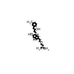 Cc1cccc(C[C@@H](O)/C=C/[C@@H]2[C@H]3CC(CCOCCN(C)C)=C[C@H]3C[C@H]2O)c1